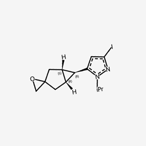 CC(C)n1nc(I)cc1[C@H]1[C@@H]2CC3(CO3)C[C@@H]21